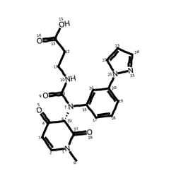 CN1C=CC(=O)[C@H](N(C(=O)NCCC(=O)O)c2cccc(-n3cccn3)c2)C1=O